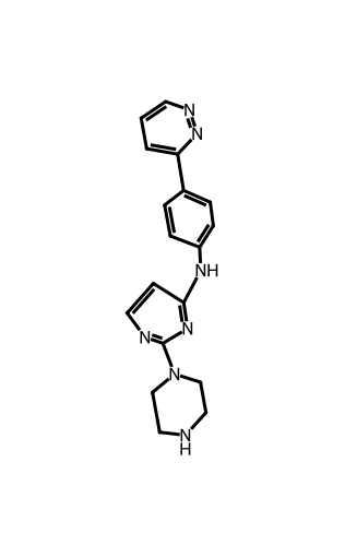 c1cnnc(-c2ccc(Nc3ccnc(N4CCNCC4)n3)cc2)c1